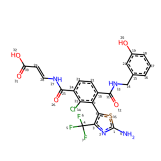 Nc1nc(C(F)(F)F)c(-c2c(C(=O)NCc3cccc(O)c3)ccc(C(=O)NC=CC(=O)O)c2Cl)s1